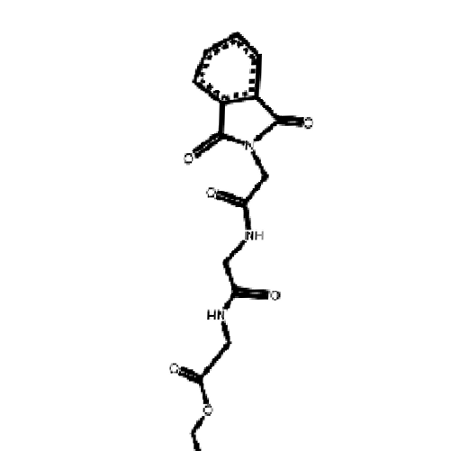 CCOC(=O)CNC(=O)CNC(=O)CN1C(=O)c2ccccc2C1=O